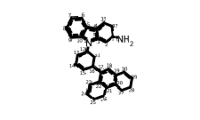 NC1C=c2c(c3ccccc3n2C2=CC=CC(c3cc4c(c5c3C=CCC5)CCC=C4)C2)=CC1